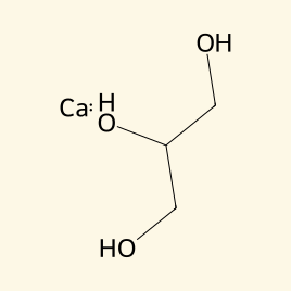 OCC(O)CO.[Ca]